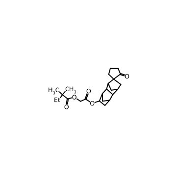 CCC(C)(C)C(=O)OCC(=O)OC1CC2CC1C1C2C2CC1C1(CCCC1=O)C2